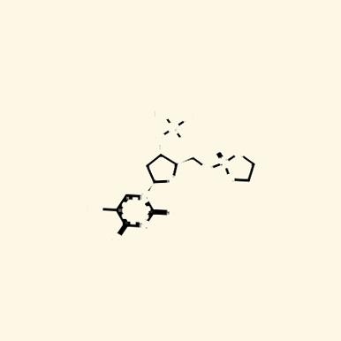 Cc1cn([C@H]2C[C@H](O[Si](C)(C)C(C)(C)C)[C@@H](COP3(=S)SCCS3)O2)c(=O)[nH]c1=O